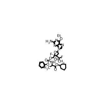 CCOc1nc(N)nc2c1ncn2[C@H]1C[C@@](O)(C(C)F)[C@@](F)(CO[P@](=O)(NC(C)C(=O)OC2CCCCC2)Oc2ccccc2)O1